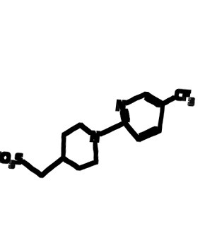 O=S(=O)(O)CC1CCN(c2ccc(C(F)(F)F)cn2)CC1